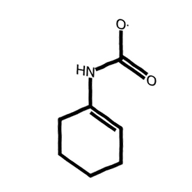 [O]C(=O)NC1=CCCCC1